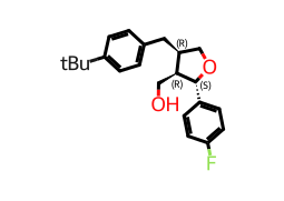 CC(C)(C)c1ccc(C[C@H]2CO[C@H](c3ccc(F)cc3)[C@H]2CO)cc1